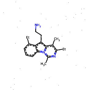 CCc1nc(C)n2c(c1C)c(CCN)c1c(CC)cccc12